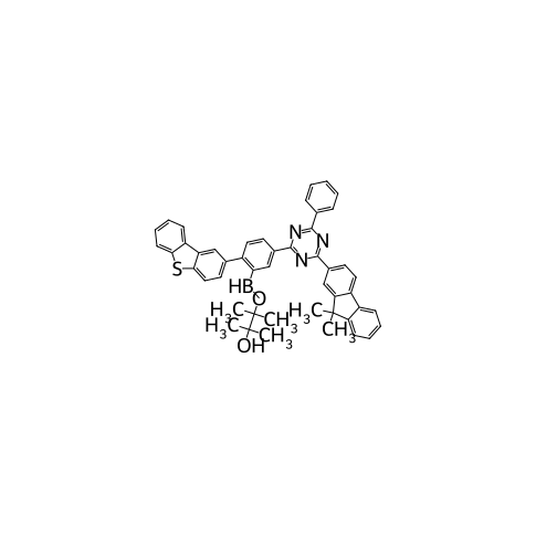 CC1(C)c2ccccc2-c2ccc(-c3nc(-c4ccccc4)nc(-c4ccc(-c5ccc6sc7ccccc7c6c5)c(BOC(C)(C)C(C)(C)O)c4)n3)cc21